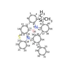 C[Si]1(C)c2ccccc2N2B3c4cccc5c4N(c4ccccc4S5)c4cc(-c5ccccc5)cc(c43)-c3cccc1c32